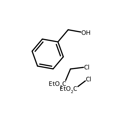 CCOC(=O)CCl.CCOC(=O)Cl.OCc1ccccc1